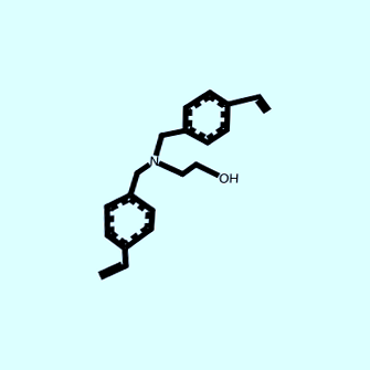 C=Cc1ccc(CN(CCO)Cc2ccc(C=C)cc2)cc1